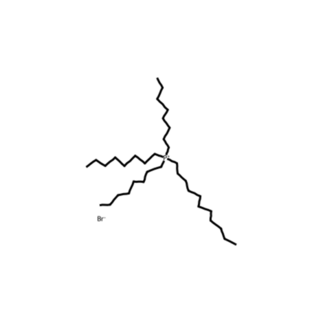 CCCCCCCCCCC[P+](CCCCCCCC)(CCCCCCCC)CCCCCCCC.[Br-]